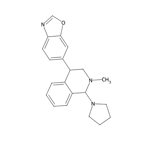 CN1CC(c2ccc3ncoc3c2)c2ccccc2C1N1CCCC1